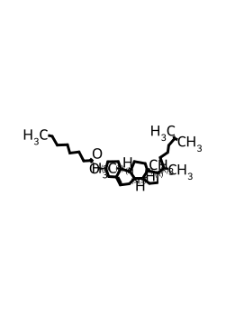 CCCCCCCC(=O)O[C@H]1CC[C@@]2(C)C(=CC[C@H]3[C@@H]4CC[C@H]([C@H](C)CCCC(C)C)[C@@]4(C)CC[C@@H]32)C1